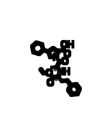 CCOC(=O)[C@H](CCc1ccccc1)N[C@@H](C)C(=O)N1CC(C2CCCCC2)C[C@H]1C(=O)O